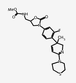 COC(=O)NCC1CN(c2ccc(C3(C)C=CC(N4CCSCC4)=NC3)c(F)c2)C(=O)O1